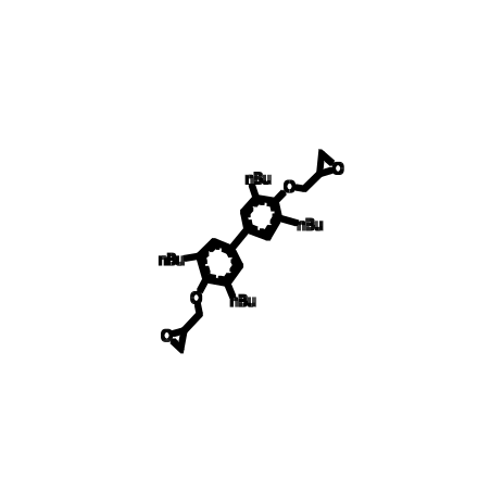 CCCCc1cc(-c2cc(CCCC)c(OCC3CO3)c(CCCC)c2)cc(CCCC)c1OCC1CO1